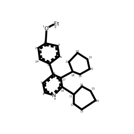 CCOc1ccc(-c2ccnc(C3CCCCC3)c2C2CCCCC2)cc1